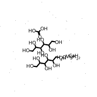 O.O=C(O)O.OCC(O)C(O)C(O)C(O)CO.OCC(O)C(O)C(O)C(O)CO.[CaH2].[MgH2]